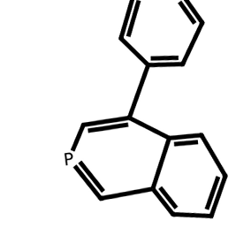 c1ccc(-c2cpcc3ccccc23)cc1